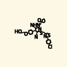 COC(=O)CNc1nc(SCc2csc(-c3ccc(Cl)cc3)n2)c(C#N)c(-c2ccc(OCCO)cc2)c1C#N